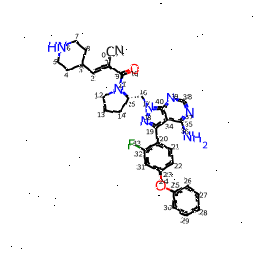 N#CC(=CC1CCNCC1)C(=O)N1CCC[C@H]1Cn1nc(-c2ccc(Oc3ccccc3)cc2F)c2c(N)ncnc21